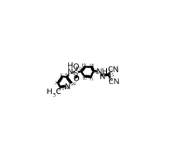 Cc1ccc(NS(=O)(=O)c2ccc(NN=C(C#N)C#N)cc2)cn1